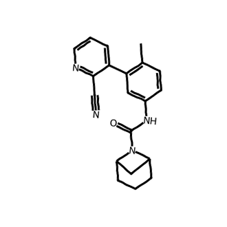 Cc1ccc(NC(=O)N2C3CCCC2C3)cc1-c1cccnc1C#N